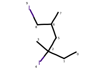 CCC(C)(I)CC(C)CI